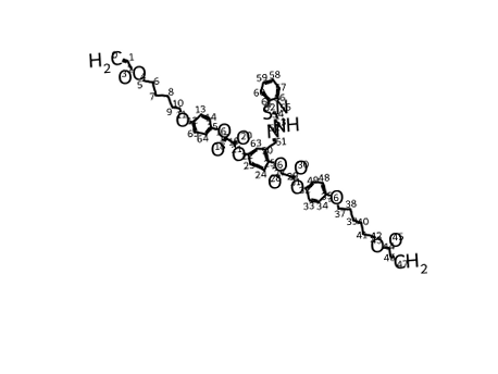 C=CC(=O)OCCCCCCOc1ccc(OC(=O)C(=O)Oc2ccc(OC(=O)C(=O)Oc3ccc(OCCCCCCOC(=O)C=C)cc3)c(/C=N/Nc3nc4ccccc4s3)c2)cc1